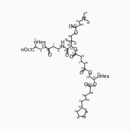 CCCCCCCCC(CCCCCC)COC(=O)CCNC(=O)[C@H](OC(=O)CCCC(=O)OCC(CCCCCC)OC(=O)CCCCC1CCSS1)C(C)(C)COC(=O)CCN(C)C